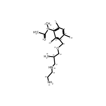 CC(=O)N(C)c1c(I)cc(I)c(COCC(N)CNCCN)c1I